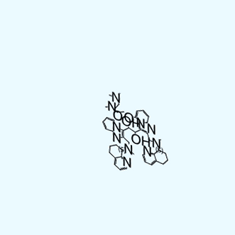 CN(C)CCOc1cccc2nc(CN(C)[C@H]3CCCc4cccnc43)c(C(O)C(O)c3c(CN(C)[C@H]4CCCc5cccnc54)nc4cccc(OCCN(C)C)n34)n12